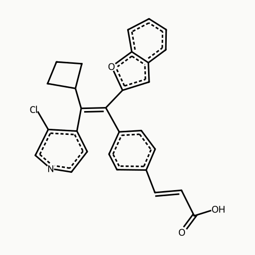 O=C(O)/C=C/c1ccc(/C(=C(\c2ccncc2Cl)C2CCC2)c2cc3ccccc3o2)cc1